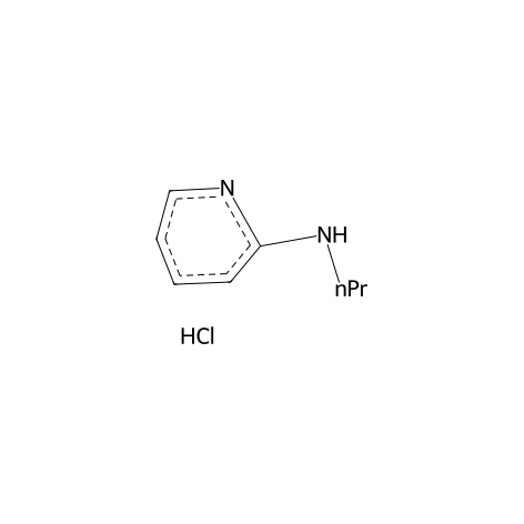 CCCNc1ccccn1.Cl